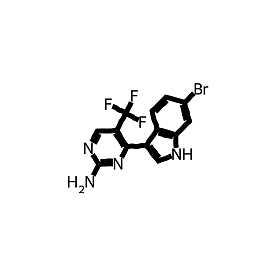 Nc1ncc(C(F)(F)F)c(-c2c[nH]c3cc(Br)ccc23)n1